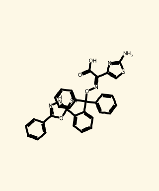 Nc1nc(C(=NOC(c2ccccc2)(c2ccccc2)c2ccccc2C2(S)NN=C(c3ccccc3)O2)C(=O)O)cs1